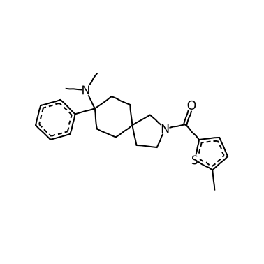 Cc1ccc(C(=O)N2CCC3(CCC(c4ccccc4)(N(C)C)CC3)C2)s1